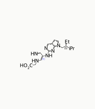 CC[C@H](Cn1ccc2cnc(N/C(C=N)=C/NCC(=O)O)nc21)C(C)C